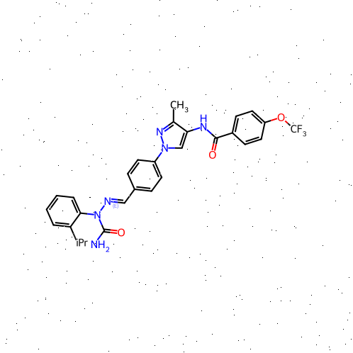 Cc1nn(-c2ccc(/C=N/N(C(N)=O)c3ccccc3C(C)C)cc2)cc1NC(=O)c1ccc(OC(F)(F)F)cc1